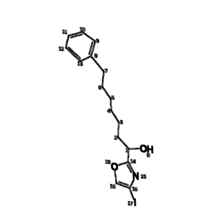 OC(CCCCCCc1ccccc1)c1nc(I)co1